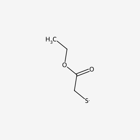 CCOC(=O)C[S]